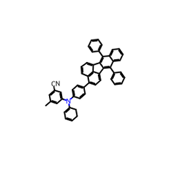 Cc1cc(C#N)cc(N(C2=CC=CCC2)c2ccc(-c3ccc4c5c(cccc35)-c3c-4c(-c4ccccc4)c4ccccc4c3-c3ccccc3)cc2)c1